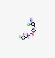 Nc1ccc(CN2CCN(C(=O)CNC(O)CC3CCC(F)(F)CC3)CC2)cc1Cl